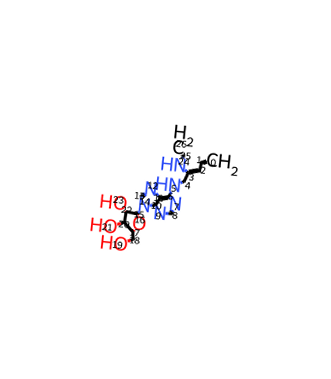 C=C/C=C(/CNc1ncnc2c1ncn2C1OC(CO)C(O)C1O)NC=C